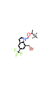 CC(OCn1ccc2cc(C(F)(F)F)cc(CBr)c21)[Si](C)(C)C